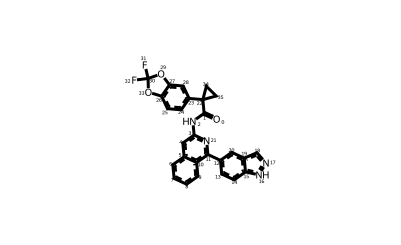 O=C(Nc1cc2ccccc2c(-c2ccc3[nH]ncc3c2)n1)C1(c2ccc3c(c2)OC(F)(F)O3)CC1